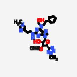 Cn1cnc(CCNc2nc(N(CO)CCc3ccccc3)c3ncn([C@@H]4O[C@H](c5nnn(C)n5)[C@@H](OC=O)[C@H]4O)c3n2)c1